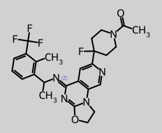 CC(=O)N1CCC(F)(c2cc3/c(=N/C(C)c4cccc(C(F)(F)F)c4C)nc4n(c3cn2)CCO4)CC1